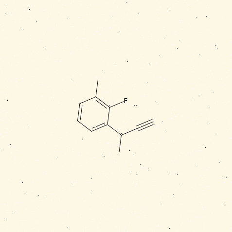 C#C[C](C)c1cccc(C)c1F